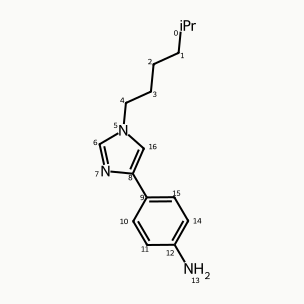 CC(C)CCCCn1cnc(-c2ccc(N)cc2)c1